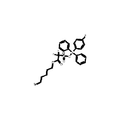 O=C(OCCCCCBr)C(F)(F)S(=O)(=O)OS(c1ccccc1)(c1ccccc1)c1ccc(F)cc1